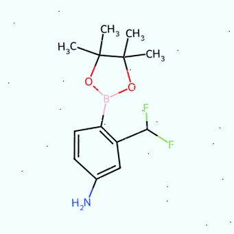 CC1(C)OB(c2ccc(N)cc2C(F)F)OC1(C)C